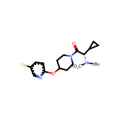 CC(C)(C)N(C(=O)O)[C@H](C(=O)N1CCC(Oc2ccc(F)cn2)CC1)C1CC1